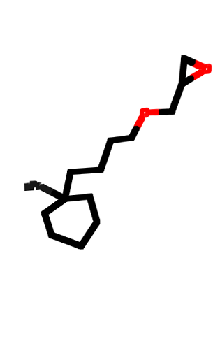 CCCC1(CCCCOCC2CO2)CCCCC1